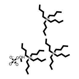 CCCC[N+](CCCC)(CCCC)CCCC.CCCC[N+](CCCC)(CCCC)CCCC.CCCC[N+](CCCC)(CCCC)CCCC.CO.O=P([O-])([O-])[O-]